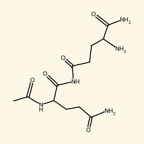 CC(=O)NC(CCC(N)=O)C(=O)NC(=O)CCC(N)C(N)=O